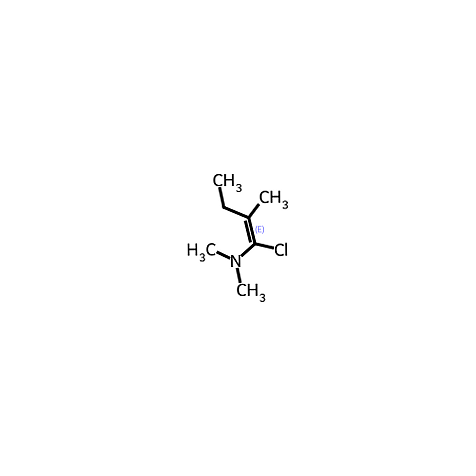 CC/C(C)=C(/Cl)N(C)C